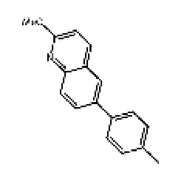 COc1ccc2cc(-c3ccc(C)cc3)ccc2n1